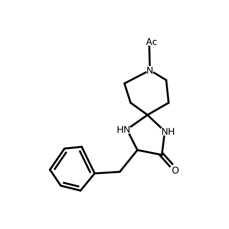 CC(=O)N1CCC2(CC1)NC(=O)C(Cc1ccccc1)N2